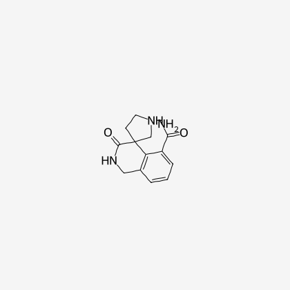 NC(=O)c1cccc2c1C1(CCNC1)C(=O)NC2